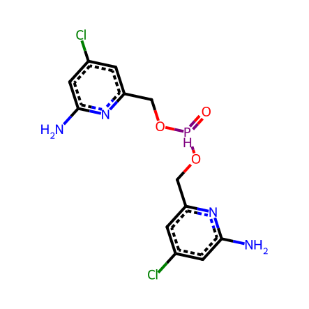 Nc1cc(Cl)cc(CO[PH](=O)OCc2cc(Cl)cc(N)n2)n1